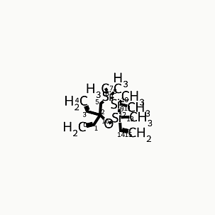 C=CC1(C=C)C[Si](C)(C)[Si](C)(C)[Si](C)(C=C)O1